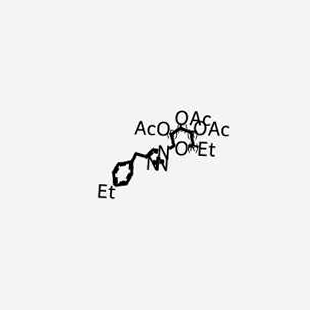 CCc1ccc(Cc2cn(C3O[C@H](CC)[C@@H](OC(C)=O)[C@H](OC(C)=O)[C@H]3OC(C)=O)nn2)cc1